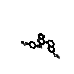 Cc1ccc2c(c1)CCCN2c1cc(NC2CCC(N)CC2)nn2ccnc12